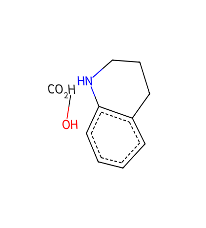 O=C(O)O.c1ccc2c(c1)CCCN2